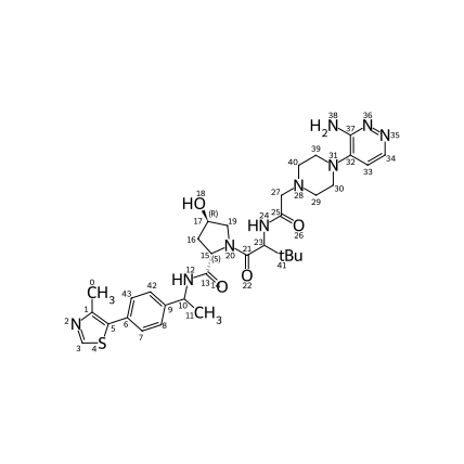 Cc1ncsc1-c1ccc(C(C)NC(=O)[C@@H]2C[C@@H](O)CN2C(=O)C(NC(=O)CN2CCN(c3ccnnc3N)CC2)C(C)(C)C)cc1